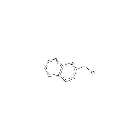 N#CCc1cc2ncccc2cn1